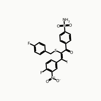 NS(=O)(=O)c1ccc(C(=O)C(SCc2ccc(F)cc2)=C(I)c2ccc(F)c([N+](=O)[O-])c2)cc1